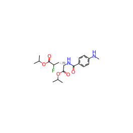 CNc1ccc(C(=O)N[C@@H](CC(F)C(=O)OC(C)C)C(=O)OC(C)C)cc1